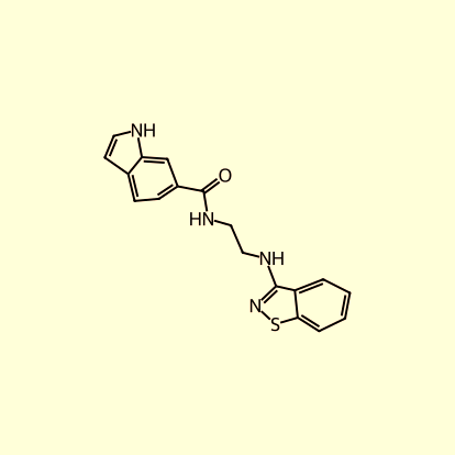 O=C(NCCNc1nsc2ccccc12)c1ccc2cc[nH]c2c1